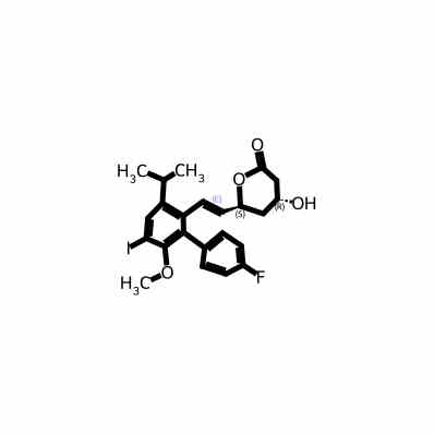 COc1c(I)cc(C(C)C)c(/C=C/[C@@H]2C[C@@H](O)CC(=O)O2)c1-c1ccc(F)cc1